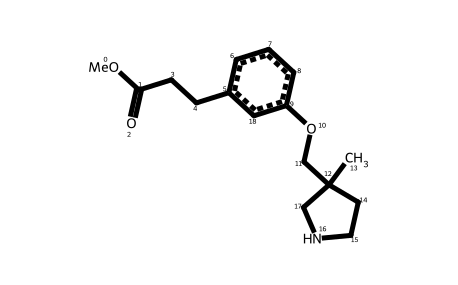 COC(=O)CCc1cccc(OCC2(C)CCNC2)c1